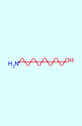 NOOOOOOOOO